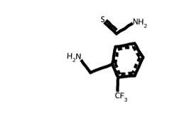 NC=S.NCc1ccccc1C(F)(F)F